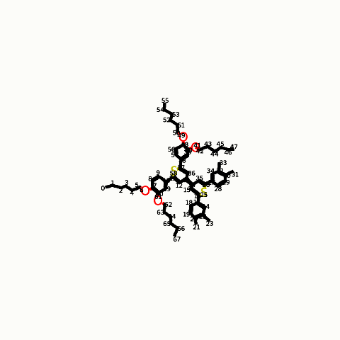 CCCCCCOc1ccc(C2=CC(=C3C=C(c4ccc(C)c(C)c4)SC(c4ccc(C)c(C)c4)=C3)C=C(C3=CC(OCCCCCC)C(OCCCCCC)C=C3)S2)cc1OCCCCCC